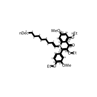 CCCCCCCCCCCCCCCCC=Cn1c(-c2ccc(OCC)c(OC)c2)c(OCC)c(=O)c2c(OCC)cc(OC)cc21